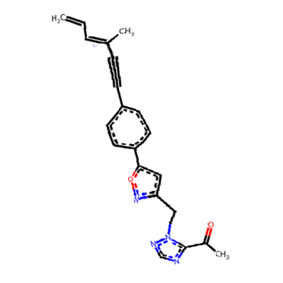 C=C/C=C(\C)C#Cc1ccc(-c2cc(Cn3ncnc3C(C)=O)no2)cc1